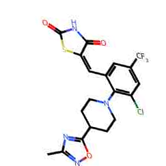 Cc1noc(C2CCN(c3c(Cl)cc(C(F)(F)F)cc3C=C3SC(=O)NC3=O)CC2)n1